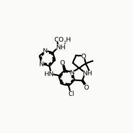 CC1(C)OCCC12NC(=O)c1c(Cl)cc(Nc3cc(NC(=O)O)ncn3)c(=O)n12